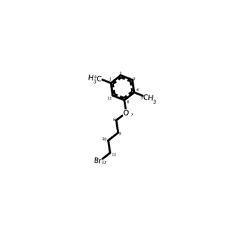 Cc1ccc(C)c(OCCCCBr)c1